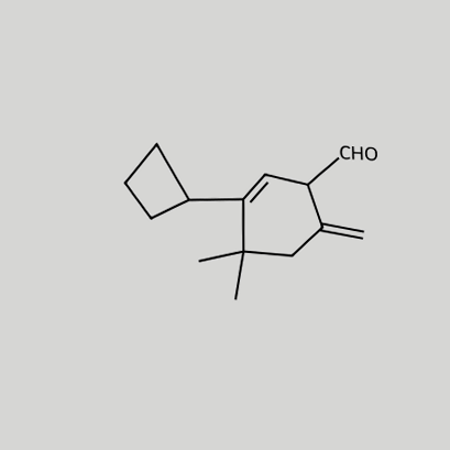 C=C1CC(C)(C)C(C2CCC2)=CC1C=O